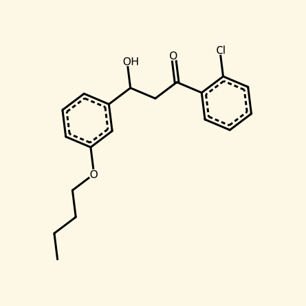 CCCCOc1cccc(C(O)CC(=O)c2ccccc2Cl)c1